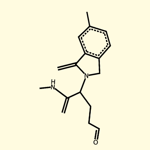 C=C(NC)C(CCC=O)N1Cc2ccc(C)cc2C1=C